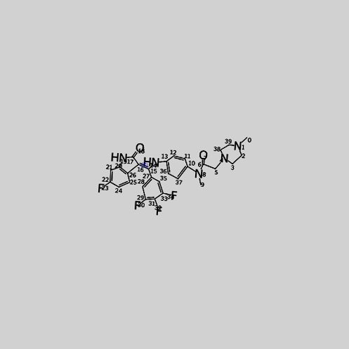 CN1CCN(CC(=O)N(C)c2ccc(N/C(=C3\C(=O)Nc4cc(F)ccc43)c3cc(F)c(F)c(F)c3)cc2)CC1